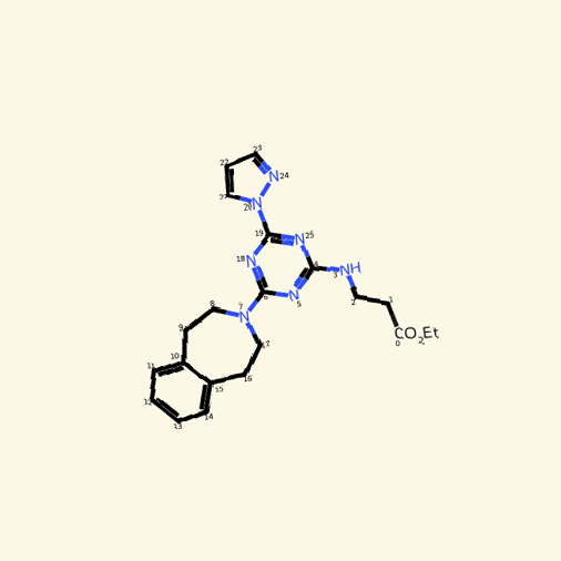 CCOC(=O)CCNc1nc(N2CCc3ccccc3CC2)nc(-n2cccn2)n1